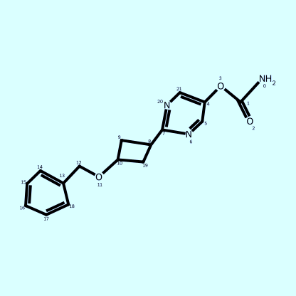 NC(=O)Oc1cnc(C2CC(OCc3ccccc3)C2)nc1